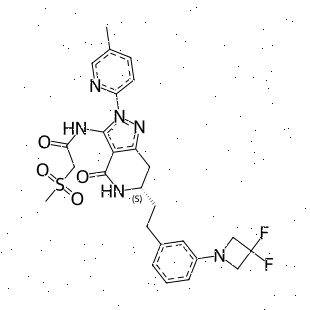 Cc1ccc(-n2nc3c(c2NC(=O)CS(C)(=O)=O)C(=O)N[C@@H](CCc2cccc(N4CC(F)(F)C4)c2)C3)nc1